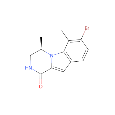 Cc1c(Br)ccc2cc3n(c12)[C@H](C)CNC3=O